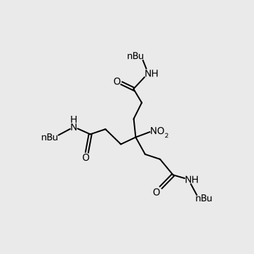 CCCCNC(=O)CCC(CCC(=O)NCCCC)(CCC(=O)NCCCC)[N+](=O)[O-]